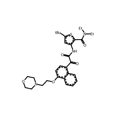 CCN(CC)C(=O)c1sc(C(C)(C)C)cc1NC(=O)C(=O)c1ccc(OCCN2CCOCC2)c2ccccc12